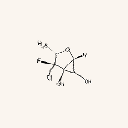 B[C@@H]1O[C@@H]2C(O)[C@]2(O)[C@]1(F)Cl